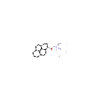 CC[N+](CC)(CC)CC(=O)c1ccc2ccc3cccc4ccc1c2c34